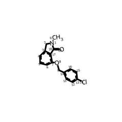 CN1Cc2cccc(OCc3ccc(Cl)cc3)c2C1=O